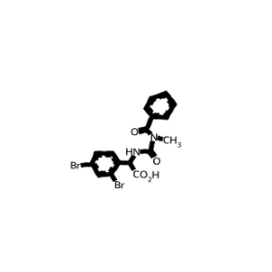 CN(C(=O)NC(C(=O)O)c1ccc(Br)cc1Br)C(=O)c1ccccc1